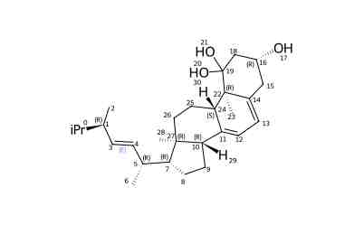 CC(C)[C@@H](C)/C=C/[C@@H](C)[C@H]1CC[C@H]2C3=CC=C4C[C@@H](O)CC(O)(O)[C@]4(C)[C@H]3CC[C@]12C